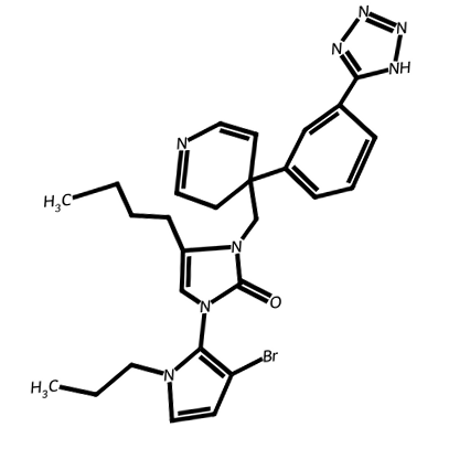 CCCCc1cn(-c2c(Br)ccn2CCC)c(=O)n1CC1(c2cccc(-c3nnn[nH]3)c2)C=CN=CC1